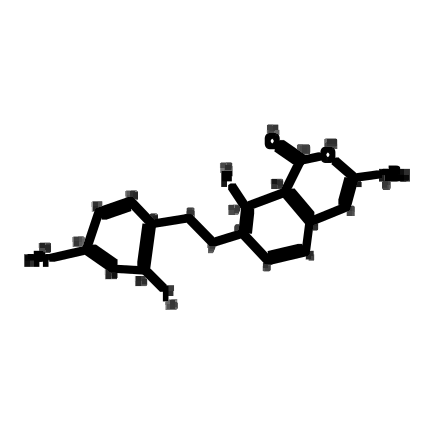 CCCCc1cc2ccc(CCc3ccc(CCC)cc3F)c(F)c2c(=O)o1